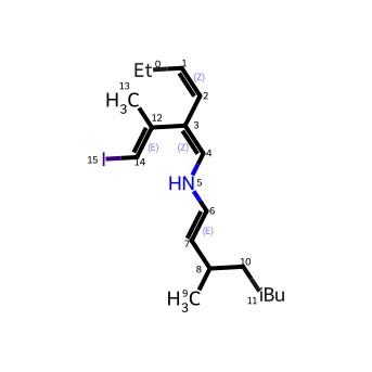 CC\C=C/C(=C/N/C=C/C(C)CC(C)CC)C(/C)=C/I